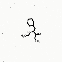 CCNC(CC1CCCCC1)C(=O)CC